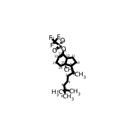 C[C@@H](CCCC(C)(C)C)C1CCC2C(OS(=O)(=O)C(F)(F)F)=CCC[C@@]21C